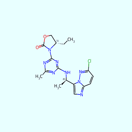 CC[C@H]1COC(=O)N1c1nc(C)nc(N[C@H](C)c2cnc3ccc(Cl)nn23)n1